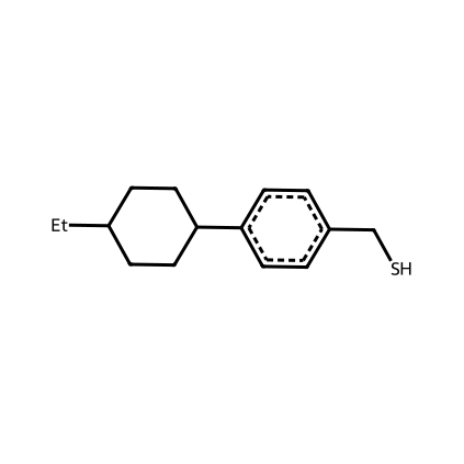 CCC1CCC(c2ccc(CS)cc2)CC1